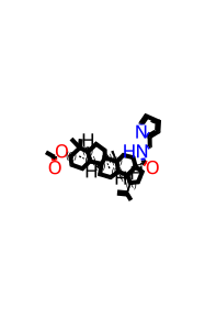 C=C(C)[C@@H]1CC[C@]2(C(=O)NCc3ccccn3)CC[C@]3(C)[C@H](CC[C@@H]4[C@@]5(C)CC[C@H](OC(C)=O)C(C)(C)[C@@H]5CC[C@]43C)[C@@H]12